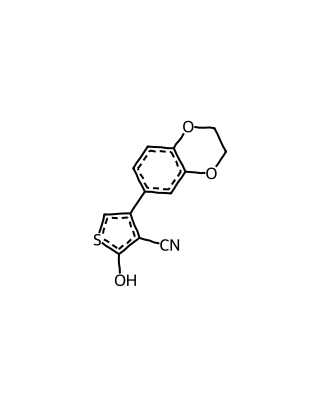 N#Cc1c(-c2ccc3c(c2)OCCO3)csc1O